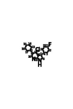 Fc1ccc(-c2c[nH]c3ncc(-c4c[c]ccc4)c(Cl)c23)cc1